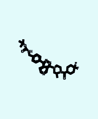 CC1CN(c2nnc(-c3ccc(CNC(=O)OC(C)(C)C)cc3)c3ccncc23)CCN1C(=O)C1CCC(F)(F)CC1